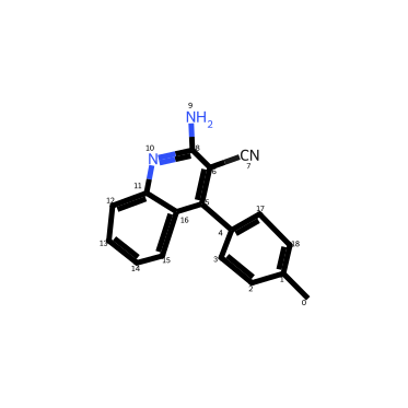 Cc1ccc(-c2c(C#N)c(N)nc3ccccc23)cc1